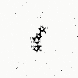 Cc1[nH]ncc1-c1cc2nc([C@@]34C[C@H]3CCN4)[nH]c(=O)c2s1